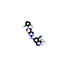 CC1(C)NCCc2cc(Nc3ncc4c(n3)SCN(c3c(Cl)cccc3Cl)C4=O)cc(C#N)c21